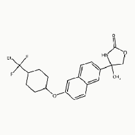 CCC(F)(F)C1CCC(Oc2ccc3cc(C4(C)COC(=O)N4)ccc3c2)CC1